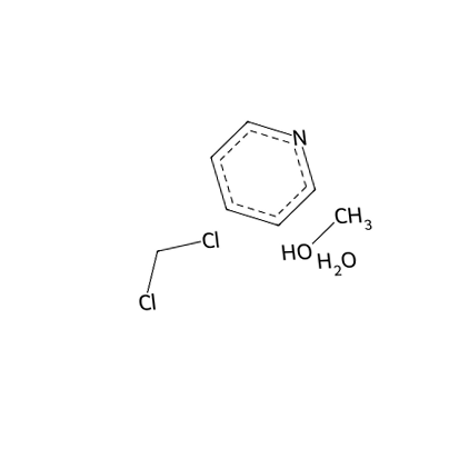 CO.ClCCl.O.c1ccncc1